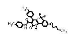 CCCCOc1ccc(-c2cc(-c3ccc(C)cc3)c(C(=O)Nc3ccc(C)cc3)c(=O)[nH]2)c(C(F)(F)F)c1